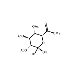 COC(=O)[C@H]1O[C@](O)(Br)[C@H](OC(C)=O)[C@@H](OC(C)=O)[C@@H]1OC(C)=O